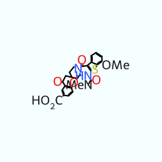 CNC(=O)Nc1sc2c(OC)cccc2c1C(=O)N1CCC2(CC1)CC(=O)c1cc(C(=O)O)ccc1O2